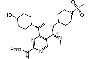 C=C(c1nc(NC(C)CCC)ncc1/C(=N\C)OC1CCN(S(C)(=O)=O)CC1)[C@H]1CC[C@H](O)CC1